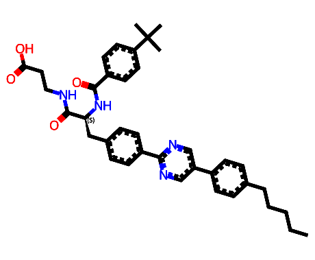 CCCCCc1ccc(-c2cnc(-c3ccc(C[C@H](NC(=O)c4ccc(C(C)(C)C)cc4)C(=O)NCCC(=O)O)cc3)nc2)cc1